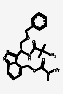 CCCN(C)C(=O)OCC1=CC=CC2=NN=C([C@@H](COCc3ccccc3)NC(=O)C(C)(C)N)C12